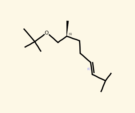 CC(C)/C=C/CC[C@H](C)COC(C)(C)C